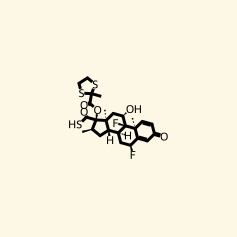 C[C@@H]1C[C@H]2[C@@H]3C[C@H](F)C4=CC(=O)C=C[C@]4(C)[C@@]3(F)[C@@H](O)C[C@]2(C)[C@@]1(OC(=O)C1(C)SCCS1)C(=O)S